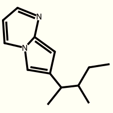 CCC(C)C(C)c1cc2ncccn2c1